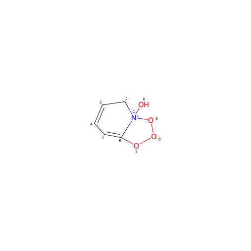 O[N+]12CC=CC=C1OOO2